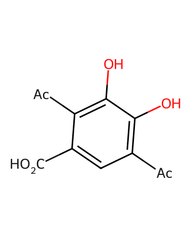 CC(=O)c1cc(C(=O)O)c(C(C)=O)c(O)c1O